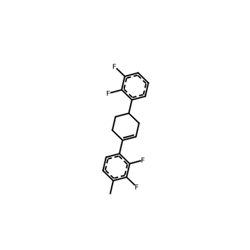 Cc1ccc(C2=CCC(c3cccc(F)c3F)CC2)c(F)c1F